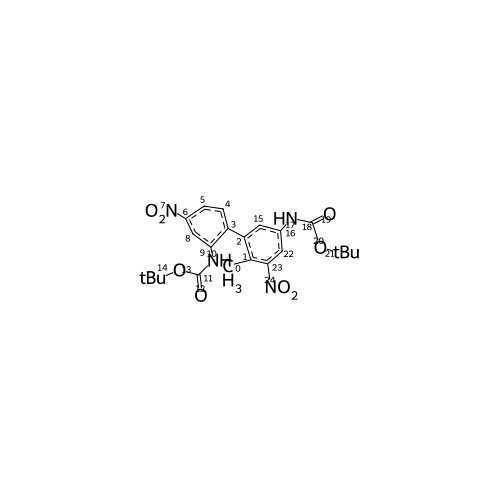 Cc1c(-c2ccc([N+](=O)[O-])cc2NC(=O)OC(C)(C)C)cc(NC(=O)OC(C)(C)C)cc1[N+](=O)[O-]